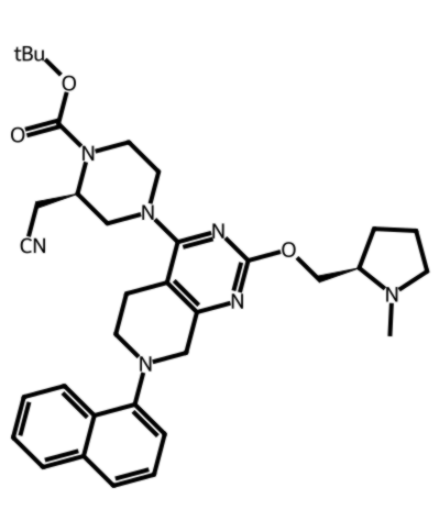 CN1CCC[C@@H]1COc1nc2c(c(N3CCN(C(=O)OC(C)(C)C)[C@H](CC#N)C3)n1)CCN(c1cccc3ccccc13)C2